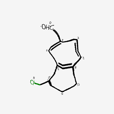 O=[C]c1ccc2c(c1)C(Cl)CC2